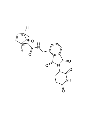 O=C1CCC(N2C(=O)c3cccc(CNC(=O)C4C[C@@H]5C=C[C@H]4C5=O)c3C2=O)C(=O)N1